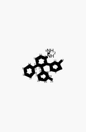 Cc1cccc(-c2c(NN)ccc(-c3ccccc3)c2-c2cccc(C)c2)c1